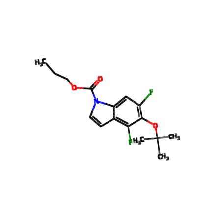 CCCOC(=O)n1ccc2c(F)c(OC(C)(C)C)c(F)cc21